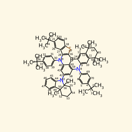 CC(C)(C)c1ccc(N2c3cc4c(cc3B3c5sc6ccc(C(C)(C)C)cc6c5N(c5ccc(C(C)(C)C)cc5)c5cc(N6c7ccccc7C7(C)CCCCC67C)cc2c53)C(C)(C)CCC4(C)C)cc1